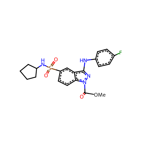 COC(=O)n1nc(Nc2ccc(F)cc2)c2cc(S(=O)(=O)NC3CCCC3)ccc21